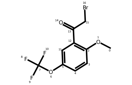 COc1ccc(OC(F)(F)F)cc1C(=O)CBr